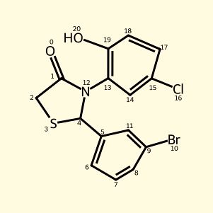 O=C1CSC(c2cccc(Br)c2)N1c1cc(Cl)ccc1O